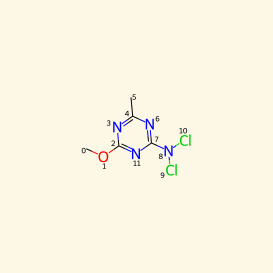 COc1nc(C)nc(N(Cl)Cl)n1